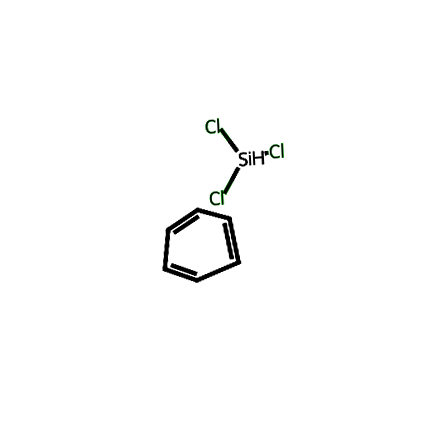 Cl[SiH](Cl)Cl.c1ccccc1